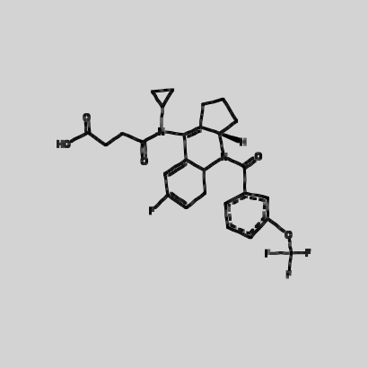 O=C(O)CCC(=O)N(C1=C2CCC[C@@H]2N(C(=O)c2cccc(OC(F)(F)F)c2)C2CC=C(F)C=C12)C1CC1